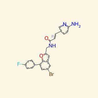 Nc1ccc(/C=C/C(=O)NCc2cc3cc(Br)cc(-c4ccc(F)cc4)c3o2)cn1